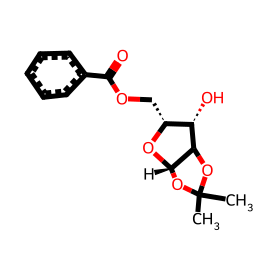 CC1(C)OC2[C@@H](O[C@H](COC(=O)c3ccccc3)[C@@H]2O)O1